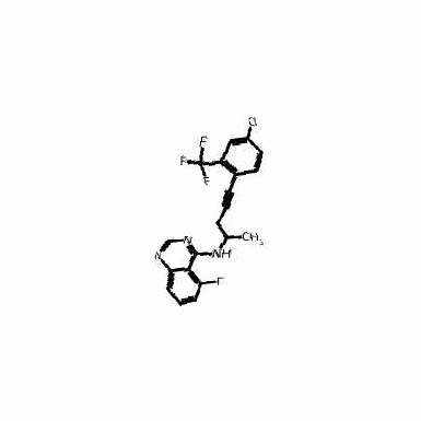 CC(CC#Cc1ccc(Cl)cc1C(F)(F)F)Nc1ncnc2cccc(F)c12